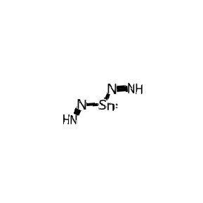 N=[N][Sn][N]=N